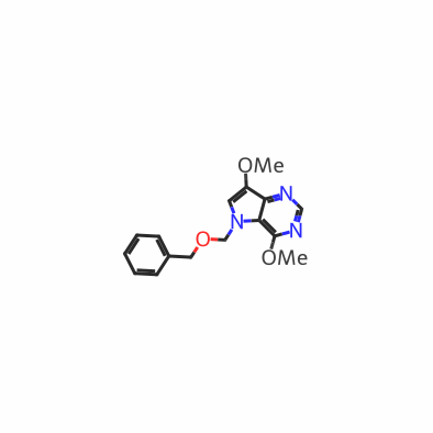 COc1cn(COCc2ccccc2)c2c(OC)ncnc12